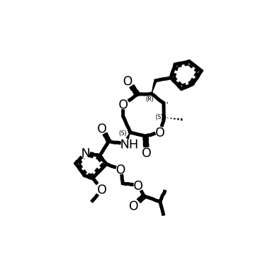 COc1ccnc(C(=O)N[C@H]2COC(=O)[C@@H](Cc3ccccc3)[CH][C@H](C)OC2=O)c1OCOC(=O)C(C)C